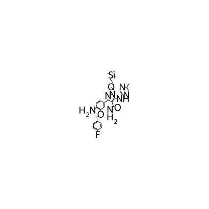 Cc1cnc(Nc2c(C(N)=O)c(-c3ccc(N)c(O[C@@H](C)c4ccc(F)cc4)c3)nn2COCC[Si](C)(C)C)cn1